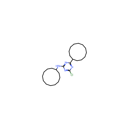 Clc1nc(NC2CCCCCCCCCCC2)nc(C2CCCCCCCCCCC2)n1